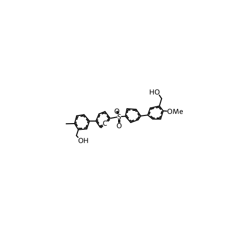 COc1ccc(-c2ccc(S(=O)(=O)c3ccc(-c4ccc(C)c(CO)c4)cc3)cc2)cc1CO